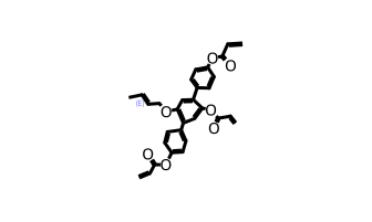 C=CC(=O)Oc1ccc(-c2cc(OC(=O)C=C)c(-c3ccc(OC(=O)C=C)cc3)cc2OC/C=C/C)cc1